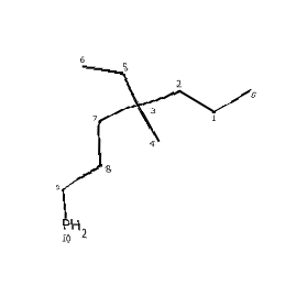 CCCC(C)(CC)CCCP